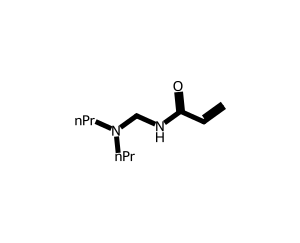 C=CC(=O)NCN(CCC)CCC